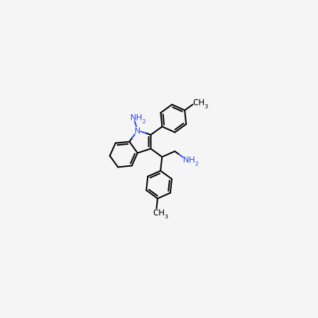 Cc1ccc(-c2c(C(CN)c3ccc(C)cc3)c3c(n2N)=CCCC=3)cc1